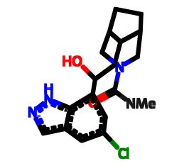 CNC(=O)N1CC2CCC(C1)C2CC(O)c1cc(Cl)cc2cn[nH]c12